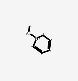 CON1[CH]C=CC=C1